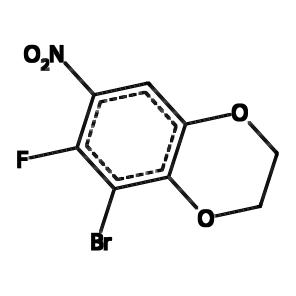 O=[N+]([O-])c1cc2c(c(Br)c1F)OCCO2